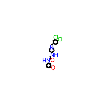 COc1cccc(NC(=O)CNC2CCN(Cc3ccc(Cl)c(Cl)c3)CC2)c1